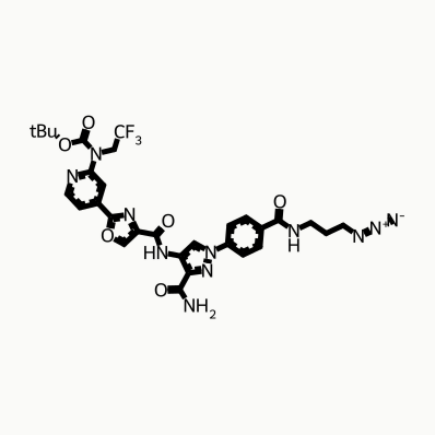 CC(C)(C)OC(=O)N(CC(F)(F)F)c1cc(-c2nc(C(=O)Nc3cn(-c4ccc(C(=O)NCCCN=[N+]=[N-])cc4)nc3C(N)=O)co2)ccn1